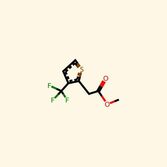 COC(=O)Cc1sccc1C(F)(F)F